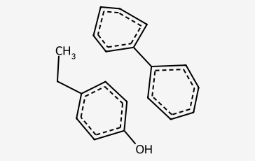 CCc1ccc(O)cc1.c1ccc(-c2ccccc2)cc1